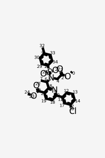 COC(=O)CN(C(C)c1nc(-c2cccc(Cl)c2)ccc1C(=O)OC)S(=O)(=O)c1ccc(C)cc1